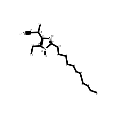 CCCCCCCCCCCc1nc(C(C)C#N)c(CC)n1C